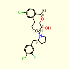 CC[C@@H](OC[C@H](O)CN1CCC[C@H]1Cc1ccc(Cl)c(F)c1)c1ccc(Cl)cc1CCC(=O)O